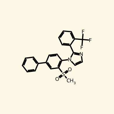 CS(=O)(=O)c1cc(-c2ccccc2)ccc1-n1ccnc1-c1ccccc1C(F)(F)F